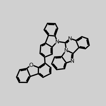 c1ccc2c(c1)nc(-n1c3ccccc3c3ccc(-c4cccc5c4oc4ccccc45)cc31)n1c3ccccc3nc21